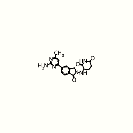 Cc1cc(-c2ccc3c(c2)CN(NC2CCC(=O)NC2=O)C3=O)nc(N)n1